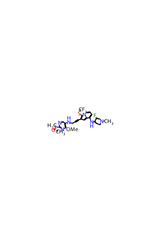 COc1nc(P(C)(C)=O)ncc1NCC#Cc1cc2c(N[C@@H]3CCN(C)C[C@@H]3F)cccn2c1SC(F)(F)F